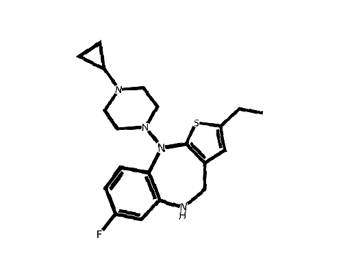 CCc1cc2c(s1)N(N1CCN(C3CC3)CC1)c1ccc(F)cc1NC2